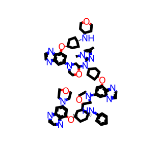 Cc1cn(C)c(N(C2CN(c3cc(O[C@H]4CC[C@@H](NC5CCOCC5)CC4)c4nccnc4c3)CCO2)[C@H]2CC[C@@H](Oc3cc(N4CCOC(C5C[C@@H](Oc6cc(N7CCOCC7)cc7nccnc67)CC[C@H]5Nc5ccccc5)C4)cc4nccnc34)CC2)n1